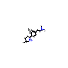 CC1CCC(c2ccc(CCN(C)C)cc2)NC1.[BH4-].[Na+]